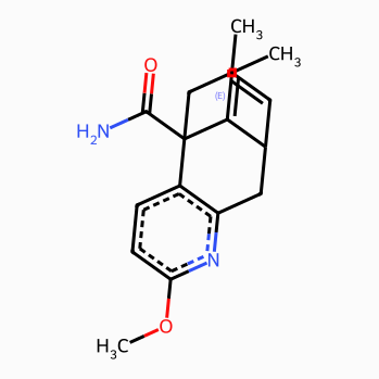 C/C=C1\C2C=C(C)CC1(C(N)=O)c1ccc(OC)nc1C2